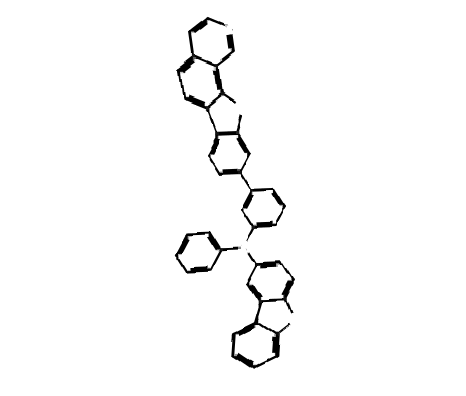 c1ccc(N(c2cccc(-c3ccc4c(c3)oc3c5cnccc5ccc43)c2)c2ccc3oc4ccccc4c3c2)cc1